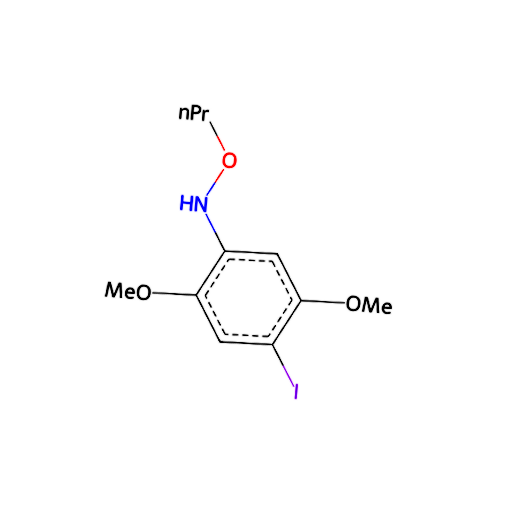 CCCONc1cc(OC)c(I)cc1OC